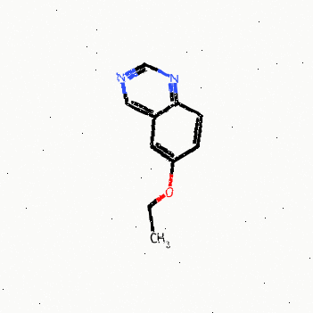 CCOc1ccc2ncncc2c1